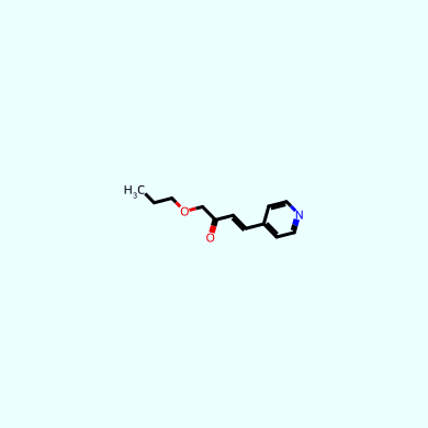 CCCOCC(=O)C=Cc1ccncc1